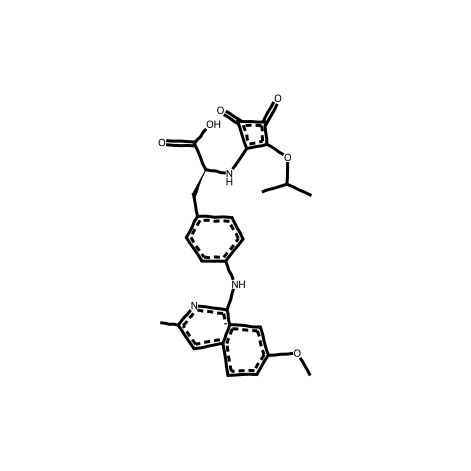 COc1ccc2cc(C)nc(Nc3ccc(C[C@H](Nc4c(OC(C)C)c(=O)c4=O)C(=O)O)cc3)c2c1